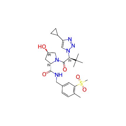 Cc1ccc(CNC(=O)[C@@H]2C[C@@H](O)CN2C(=O)[C@@H](n2cc(C3CC3)nn2)C(C)(C)C)cc1S(C)(=O)=O